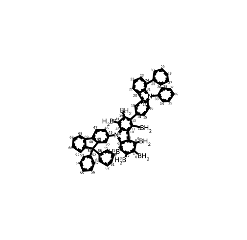 Bc1c(B)c(B)c2c(c1B)c1c(B)c(-c3ccc4c(c3)c3cccc(-c5ccccc5)c3n4-c3ccccc3)c(B)c(B)c1n2-c1ccc2c(c1)C(c1ccccc1)(c1ccccc1)c1ccccc1-2